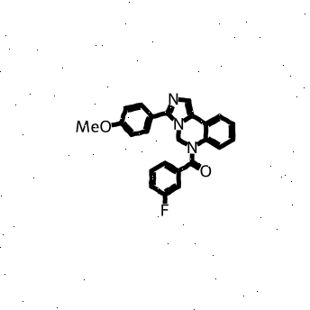 COc1ccc(-c2ncc3n2CN(C(=O)c2cccc(F)c2)c2ccccc2-3)cc1